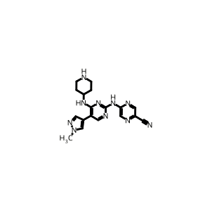 Cn1cc(-c2cnc(Nc3cnc(C#N)cn3)nc2NC2CCNCC2)cn1